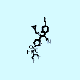 N#Cc1ccc2c(C#N)c(-c3ccc(S(=O)(=O)NC(CF)CF)cn3)n(CC3CC3)c2c1